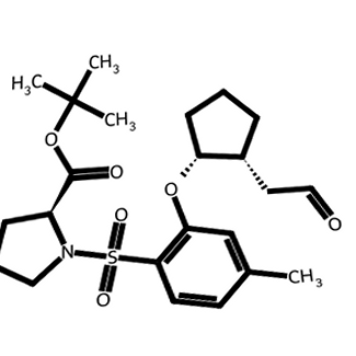 Cc1ccc(S(=O)(=O)N2CCC[C@H]2C(=O)OC(C)(C)C)c(O[C@@H]2CCC[C@@H]2CC=O)c1